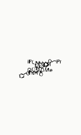 COC(=O)[C@@H](CCNC(=O)OCc1ccccc1)N(C(=O)[C@@H](N)CC(C)C)[C@@H](Cc1ccc(OCCC(C)C)cc1)C(=O)O